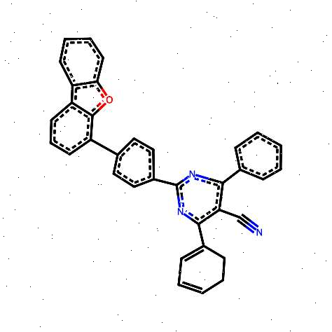 N#Cc1c(C2=CC=CCC2)nc(-c2ccc(-c3cccc4c3oc3ccccc34)cc2)nc1-c1ccccc1